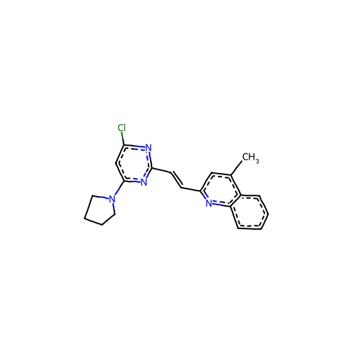 Cc1cc(/C=C/c2nc(Cl)cc(N3CCCC3)n2)nc2ccccc12